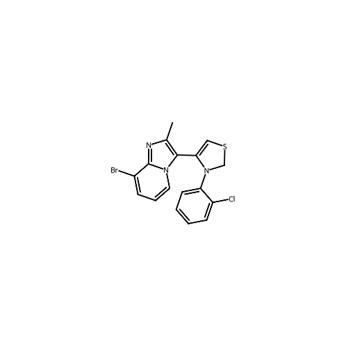 Cc1nc2c(Br)cccn2c1C1=CSCN1c1ccccc1Cl